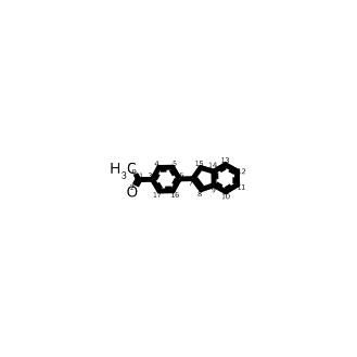 CC(=O)c1ccc(C2=Cc3ccccc3C2)cc1